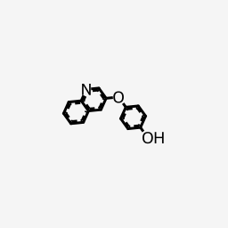 Oc1ccc(Oc2cnc3ccccc3c2)cc1